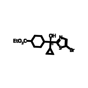 CCOC(=O)C1CCC([C@](O)(c2ncc(Br)s2)C2CC2)CC1